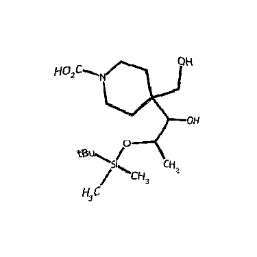 CC(O[Si](C)(C)C(C)(C)C)C(O)C1(CO)CCN(C(=O)O)CC1